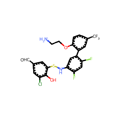 NCCOc1ccc(C(F)(F)F)cc1-c1cc(NSc2cc(C=O)cc(Cl)c2O)c(F)cc1F